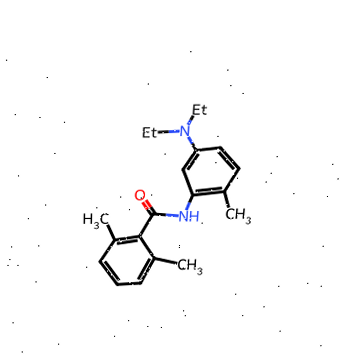 CCN(CC)c1ccc(C)c(NC(=O)c2c(C)cccc2C)c1